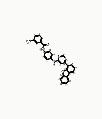 Nc1cccc(C(=O)Nc2ccc(Nc3cc(-c4cccc5c4oc4ccccc45)ncn3)cc2)c1